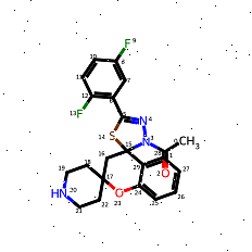 CC(=O)N1N=C(c2cc(F)ccc2F)SC12CC1(CCNCC1)Oc1ccccc12